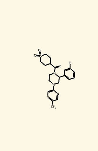 O=C(C1CCS(=O)(=O)CC1)N1CCN(c2cnc(C(F)(F)F)cn2)CC1c1cccc(F)c1